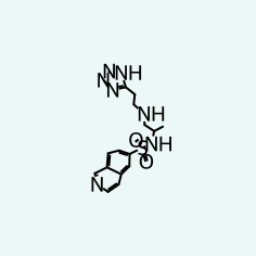 CC(CNCCc1nnn[nH]1)NS(=O)(=O)c1ccc2cnccc2c1